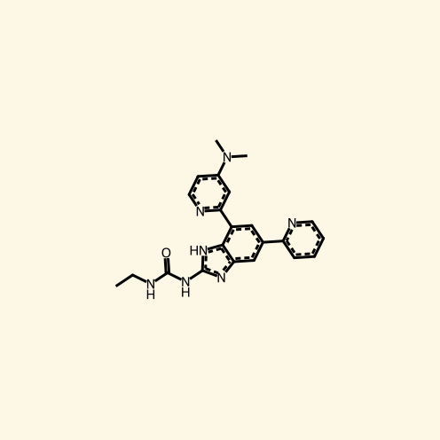 CCNC(=O)Nc1nc2cc(-c3ccccn3)cc(-c3cc(N(C)C)ccn3)c2[nH]1